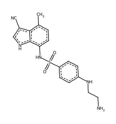 Cc1ccc(NS(=O)(=O)c2ccc(NCCN)cc2)c2[nH]cc(C#N)c12